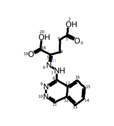 O=C(O)CC/C(=N\Nc1nncc2ccccc12)C(=O)O